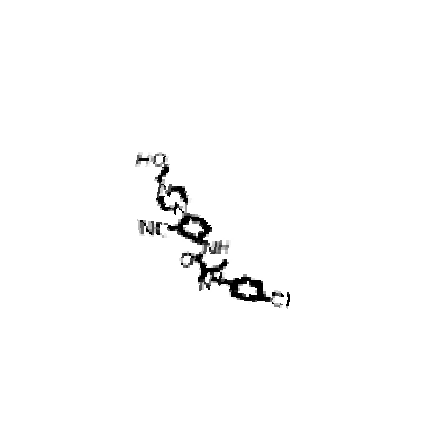 Cc1c(C(=O)Nc2ccc(N3CCN(CCO)CC3)c(C#N)c2)cnn1-c1ccc(Cl)cc1